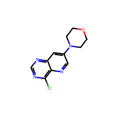 Clc1ncnc2cc(N3CCOCC3)cnc12